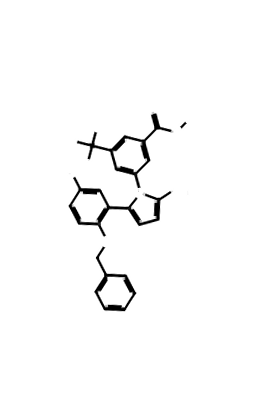 COC(=O)c1cc(-n2c(C)ccc2-c2cc(Br)ccc2OCc2ccccc2)cc(C(F)(F)F)c1